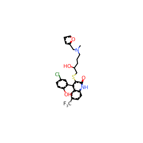 CN(CCCC(O)CSc1c(-c2cc(Cl)ccc2O)c2cc(C(F)(F)F)ccc2[nH]c1=O)Cc1ccco1